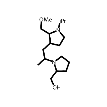 COCC1C(CC(C)N2CCCC2CO)CCN1C(C)C